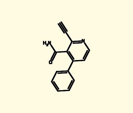 C#Cc1nccc(-c2ccccc2)c1C(N)=O